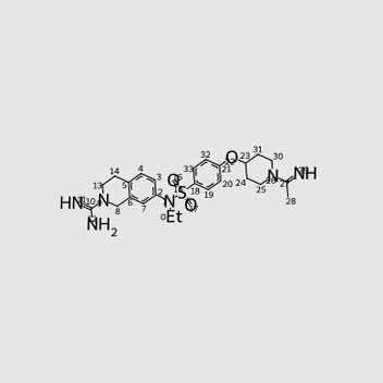 CCN(c1ccc2c(c1)CN(C(=N)N)CC2)S(=O)(=O)c1ccc(OC2CCN(C(C)=N)CC2)cc1